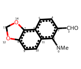 CNc1c(C=O)ccc2c3c(ccc12)OCO3